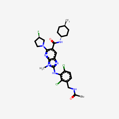 Cn1c(Nc2c(Cl)ccc(CNC(=O)C(C)(C)C)c2Cl)nc2cc(C(=O)N[C@H]3CC[C@H](C(F)(F)F)CC3)c(N3CC[C@@H](F)C3)nc21